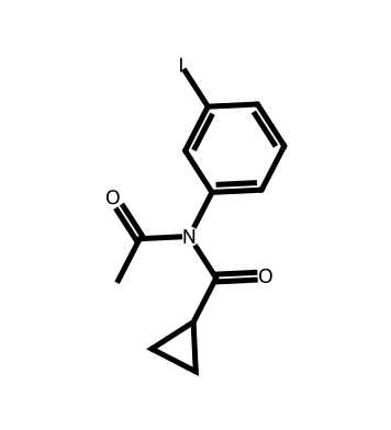 CC(=O)N(C(=O)C1CC1)c1cccc(I)c1